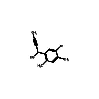 CC#CC(O)c1cc(Br)c(C)cc1C